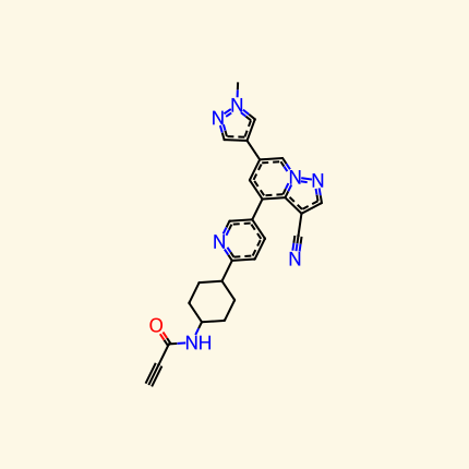 C#CC(=O)NC1CCC(c2ccc(-c3cc(-c4cnn(C)c4)cn4ncc(C#N)c34)cn2)CC1